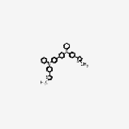 Cc1ccc(-c2ccc(N(C3=CCCC=C3)c3ccc(-c4ccc(N(c5ccccc5)c5ccc(-c6ccc(C)s6)cc5)cc4)cc3)cc2)s1